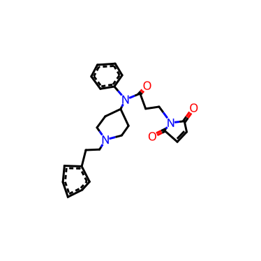 O=C1C=CC(=O)N1CCC(=O)N(c1ccccc1)C1CCN(CCc2ccccc2)CC1